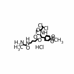 CC(N)C(=O)NCCCC(=O)O[C@H](c1ccc(S(C)(=O)=O)cc1)[C@@H](CF)NC(=O)C(Cl)Cl.Cl